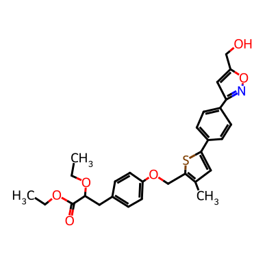 CCOC(=O)C(Cc1ccc(OCc2sc(-c3ccc(-c4cc(CO)on4)cc3)cc2C)cc1)OCC